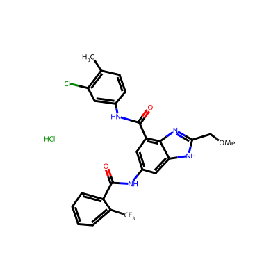 COCc1nc2c(C(=O)Nc3ccc(C)c(Cl)c3)cc(NC(=O)c3ccccc3C(F)(F)F)cc2[nH]1.Cl